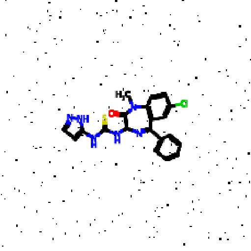 CN1C(=O)C(NC(=S)Nc2ccn[nH]2)N=C(c2ccccc2)c2cc(Cl)ccc21